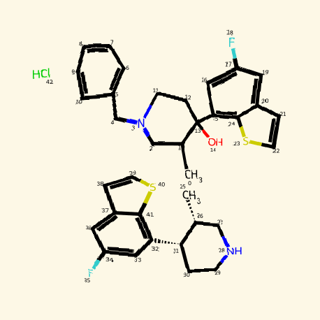 CC1CN(Cc2ccccc2)CCC1(O)c1cc(F)cc2ccsc12.C[C@@H]1CNCC[C@@H]1c1cc(F)cc2ccsc12.Cl